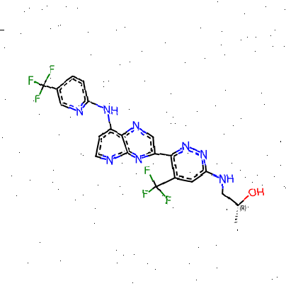 C[C@@H](O)CNc1cc(C(F)(F)F)c(-c2cnc3c(Nc4ccc(C(F)(F)F)cn4)ccnc3n2)nn1